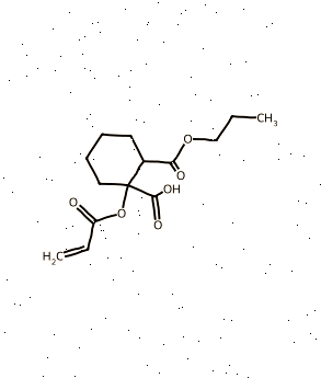 C=CC(=O)OC1(C(=O)O)CCCCC1C(=O)OCCC